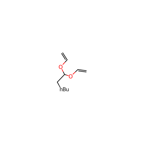 C=COC(CCCCC)OC=C